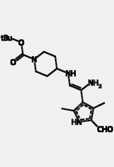 Cc1[nH]c(C=O)c(C)c1/C(N)=C/NC1CCN(C(=O)OC(C)(C)C)CC1